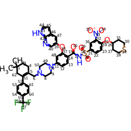 CC1(C)CCC(CN2CCN(c3ccc(C(=O)NS(=O)(=O)c4ccc(OC5CCSCC5)c([N+](=O)[O-])c4)c(Oc4cnc5[nH]ccc5c4)c3)CC2)=C(c2ccc(C(F)(F)F)cc2)C1